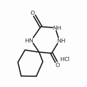 Cl.O=C1NNC(=O)C2(CCCCC2)N1